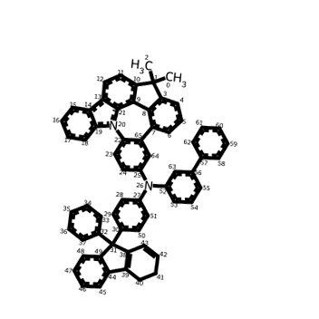 CC1(C)c2cccc3c2-c2c1ccc1c4ccccc4n(c21)-c1ccc(N(c2ccc(C4(c5ccccc5)C5=C(CCC=C5)c5ccccc54)cc2)c2cccc(-c4ccccc4)c2)cc1-3